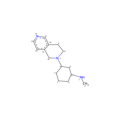 CNC1CCCC(N2CCc3cnccc3C2)C1